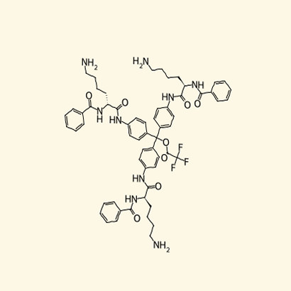 NCCCC[C@@H](NC(=O)c1ccccc1)C(=O)Nc1ccc(C(OC(=O)C(F)(F)F)(c2ccc(NC(=O)[C@@H](CCCCN)NC(=O)c3ccccc3)cc2)c2ccc(NC(=O)[C@@H](CCCCN)NC(=O)c3ccccc3)cc2)cc1